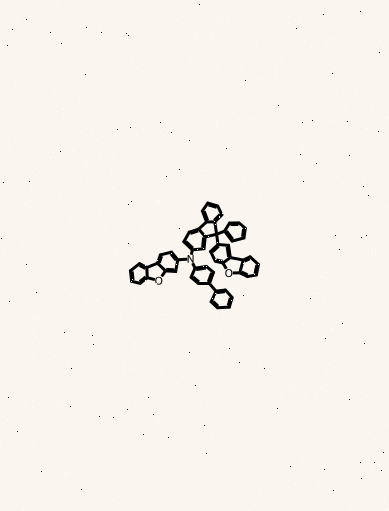 c1ccc(-c2ccc(N(c3ccc4c(c3)C(c3ccccc3)(c3ccc5oc6ccccc6c5c3)c3ccccc3-4)c3ccc4c(c3)oc3ccccc34)cc2)cc1